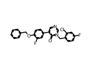 O=c1c(-c2ccc(OCc3ccccc3)c(F)c2)cncn1Cc1ccc(F)cc1Cl